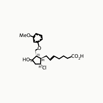 COc1cccc(OC[C@@H]2[C@@H](CC=CCCCC(=O)O)[C@H](Cl)C[C@H]2O)c1